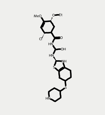 CCO[C@@H]1CC(C(=O)NC(O)N[C@H]2NC3=C(CC(SC4CCNCC4)CC3)S2)[C@H](Cl)C=C1OC